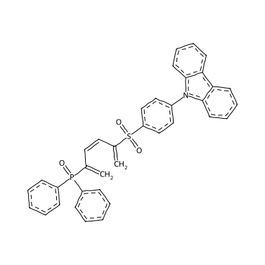 C=C(/C=C\C(=C)S(=O)(=O)c1ccc(-n2c3ccccc3c3ccccc32)cc1)P(=O)(c1ccccc1)c1ccccc1